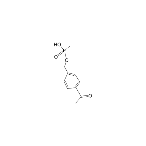 CC(=O)c1ccc(COP(C)(=O)O)cc1